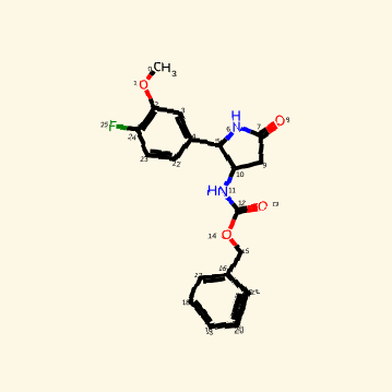 COc1cc(C2NC(=O)CC2NC(=O)OCc2ccccc2)ccc1F